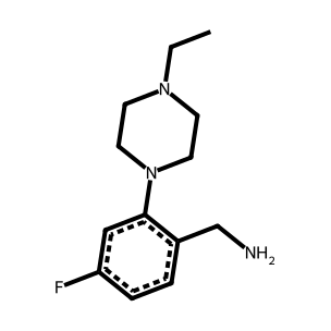 CCN1CCN(c2cc(F)ccc2CN)CC1